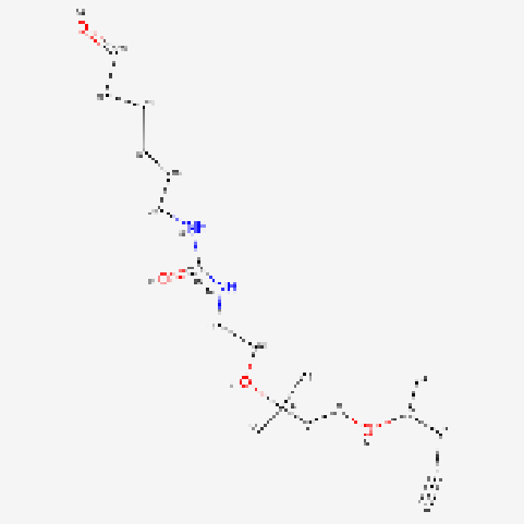 C#CCC(C)OCCC(C)(C)OCCNC(=O)NCCCCCC=O